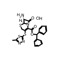 Cc1nnc(SC2=C(C(=O)OC(c3ccccc3)c3ccccc3)N3C(=O)[C@@H](N)[C@@H]3SC2)s1.Cl